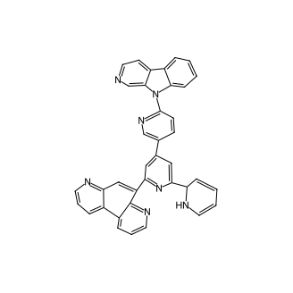 C1=CNC(c2cc(-c3ccc(-n4c5ccccc5c5ccncc54)nc3)cc(-c3cc4ncccc4c4cccnc34)n2)C=C1